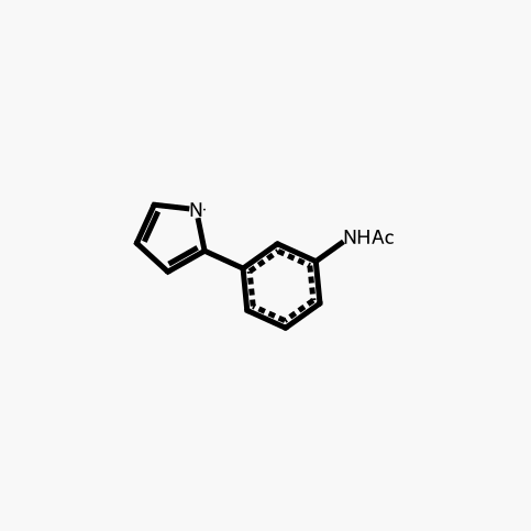 CC(=O)Nc1cccc(C2=CC=C[N]2)c1